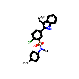 CCN(c1ccc(OC)cc1)S(=O)(=O)c1cc(-c2[nH]c3ccccc3c2CC(=O)O)ccc1Cl